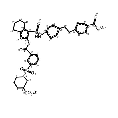 CCOC(=O)C1CCCN(S(=O)(=O)c2cccc(C(=O)Nc3sc4c(c3C(=O)Nc3ccc(CCc5ccc(C(=O)OC)cc5)cc3)CCCC4)c2)C1